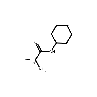 C[C@@H](N)C(=O)NC1CC[CH]CC1